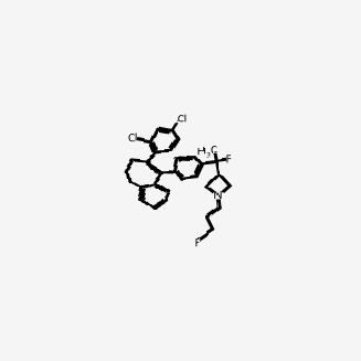 CC(F)(c1ccc(C2=C(c3ccc(Cl)cc3Cl)CCCc3ccccc32)cc1)C1CN(CCCF)C1